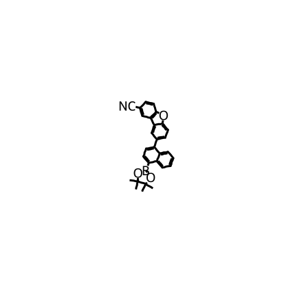 CC1(C)OB(c2ccc(-c3ccc4oc5ccc(C#N)cc5c4c3)c3ccccc23)OC1(C)C